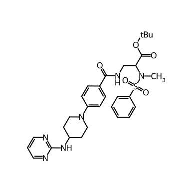 CN(C(CNC(=O)c1ccc(N2CCC(Nc3ncccn3)CC2)cc1)C(=O)OC(C)(C)C)S(=O)(=O)c1ccccc1